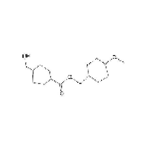 COC1CCC(COC(=O)C2CCC(CO)CC2)CC1